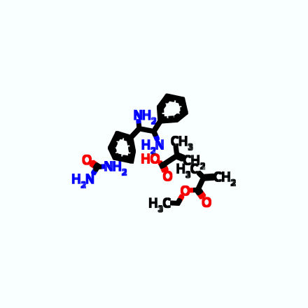 C=C(C)C(=O)O.C=C(C)C(=O)OCC.NC(N)=O.NC(c1ccccc1)C(N)c1ccccc1